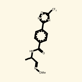 CO/N=C/C(C)NC(=O)c1ccc(-c2noc(C(F)(F)F)n2)cc1